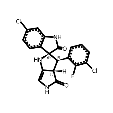 O=C1NC=C2N[C@@]3(C(=O)Nc4cc(Cl)ccc43)[C@@H](c3cccc(Cl)c3F)[C@H]12